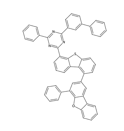 c1ccc(-c2cccc(-c3nc(-c4ccccc4)nc(-c4cccc5c4sc4cccc(-c6cc(-c7ccccc7)c7oc8ccccc8c7c6)c45)n3)c2)cc1